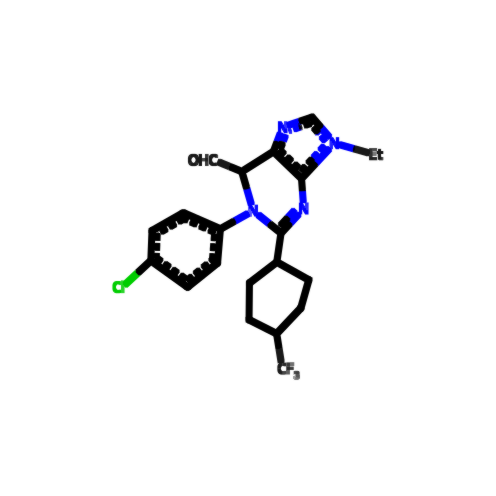 CCn1cnc2c1N=C(C1CCC(C(F)(F)F)CC1)N(c1ccc(Cl)cc1)C2C=O